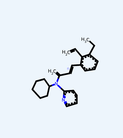 C=Cc1c(/C=C/C(=C)N(c2ccccn2)C2CCCCC2)cccc1CC